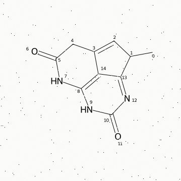 CC1C=C2CC(=O)Nc3[nH]c(=O)nc1c32